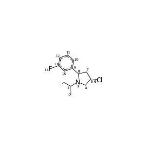 CC(C)N1CC(Cl)CC1c1cccc(F)c1